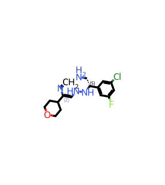 C=N/C(=C\NN[C@H](CN)c1cc(F)cc(Cl)c1)C1CCOCC1